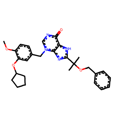 COc1ccc(Cn2cnc(=O)c3[nH]c(C(C)(C)OCc4ccccc4)nc32)cc1OC1CCCC1